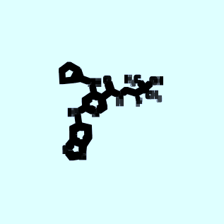 CC(C)(O)[C@H](F)CNC(=O)c1cnc(Nc2ccc3ncsc3c2)cc1NC1C2CCCC21